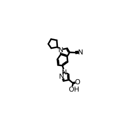 N#Cc1cn(C2CCCC2)c2ccc(-n3cc(C(=O)O)cn3)cc12